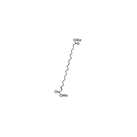 COC(=O)C=CCCCCCCCCCCCCCCCCC(=O)OC